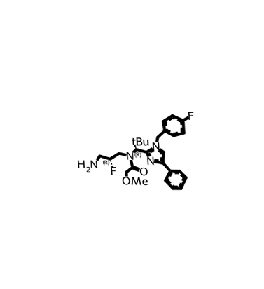 COCC(=O)N(C[C@H](F)CN)[C@@H](c1nc(-c2ccccc2)cn1Cc1ccc(F)cc1)C(C)(C)C